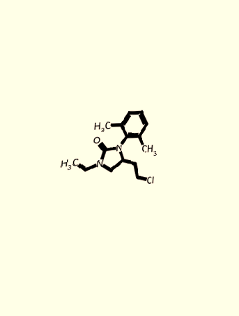 CCN1CC(CCCl)N(c2c(C)cccc2C)C1=O